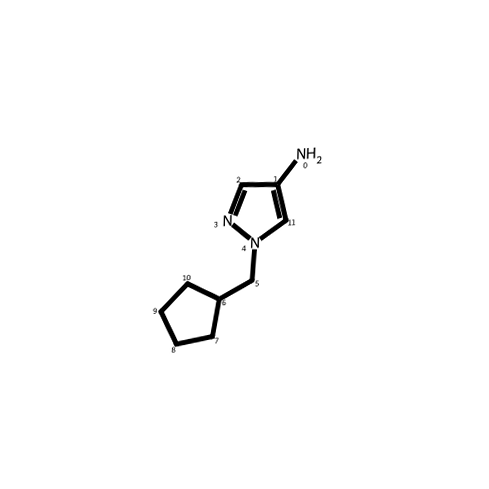 Nc1cnn(CC2CCCC2)c1